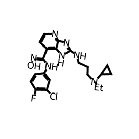 CCN(CCCNc1nc2nccc(C(=NO)Nc3ccc(F)c(Cl)c3)c2[nH]1)C1CC1